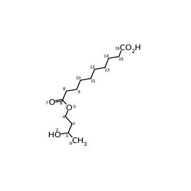 CC(O)CCOC(=O)CCCCCCCCC(=O)O